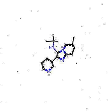 Cc1ccc2nc(-c3cccnc3)c(NC(C)(C)C)n2c1